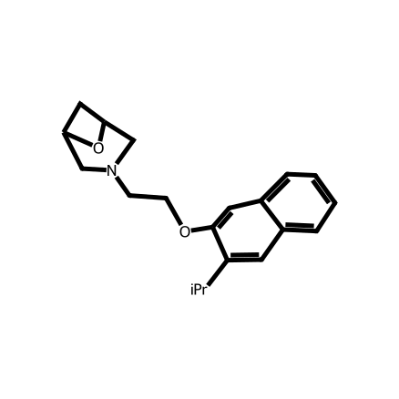 CC(C)c1cc2ccccc2cc1OCCN1CC2CC(C1)O2